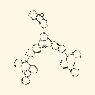 C1=CC(N(c2ccccc2)c2ccc3cc4c5cc(-c6ccc7oc8ccccc8c7c6)cc6c7cc8c(cc7n(c4cc3c2)c65)C=C(N(c2ccccc2)c2cccc3c2oc2ccccc23)CC8)C2Oc3ccccc3C2=C1